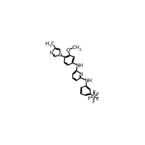 COc1cc(Nc2cccc(Nc3cccc(S(F)(F)(F)(F)F)c3)n2)ccc1-n1cnc(C)c1